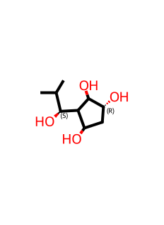 CC(C)[C@H](O)C1C(O)C[C@@H](O)C1O